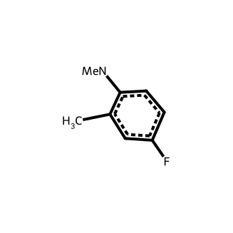 CNc1ccc(F)cc1C